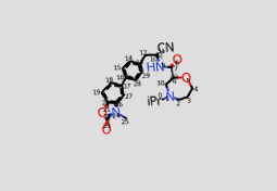 CC(C)N1CCCO[C@H](C(=O)N[C@H](C#N)Cc2ccc(-c3ccc4oc(=O)n(C)c4c3)cc2)C1